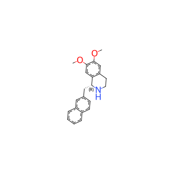 COc1cc2c(cc1OC)[C@@H](Cc1ccc3ccccc3c1)NCC2